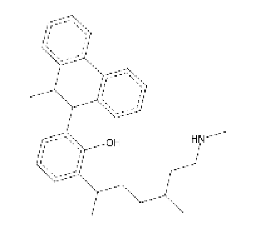 CNCCC(C)CCC(C)c1cccc(C2c3ccccc3-c3ccccc3C2C)c1O